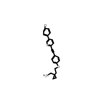 NCC1(CCOc2ccc(C#Cc3ccc(-c4ccc(Cl)cc4)cn3)cc2)CC1